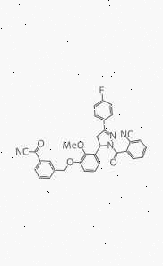 COc1c(OCc2cccc(C(=O)C#N)c2)cccc1C1CC(c2ccc(F)cc2)=NN1C(=O)c1ccccc1C#N